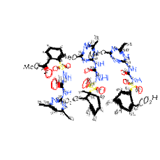 COC(=O)c1ccccc1S(=O)(=O)NC(=O)Nc1nc(C)cc(C)n1.COc1nc(C)nc(NC(=O)NS(=O)(=O)C2(C)C=CC=CC2C(=O)O)n1.COc1nc(C)nc(NC(=O)NS(=O)(=O)c2ccccc2C(=O)O)n1